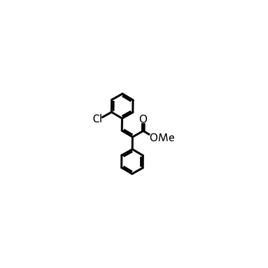 COC(=O)C(=Cc1ccccc1Cl)c1ccccc1